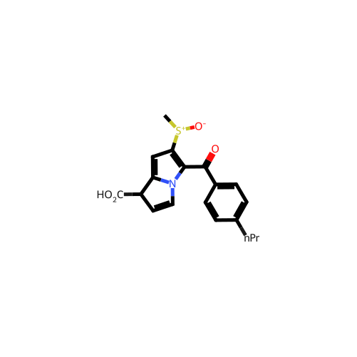 CCCc1ccc(C(=O)c2c([S+](C)[O-])cc3n2C=CC3C(=O)O)cc1